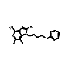 CCCCc1nc2c(N)nc(C)c(C)c2n1CCCCSc1ncccn1